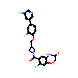 O=C1COc2cc(F)c(C(=O)N3CC(COc4ccc(-c5cncc(F)c5)cc4F)C3)cc2N1